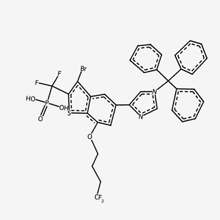 O=P(O)(O)C(F)(F)c1sc2c(OCCCC(F)(F)F)cc(-c3cn(C(c4ccccc4)(c4ccccc4)c4ccccc4)cn3)cc2c1Br